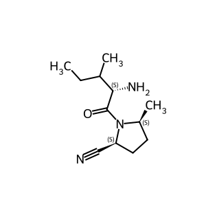 CCC(C)[C@H](N)C(=O)N1[C@H](C#N)CC[C@@H]1C